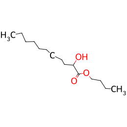 CCCCCCCCCC(O)C(=O)OCCCC